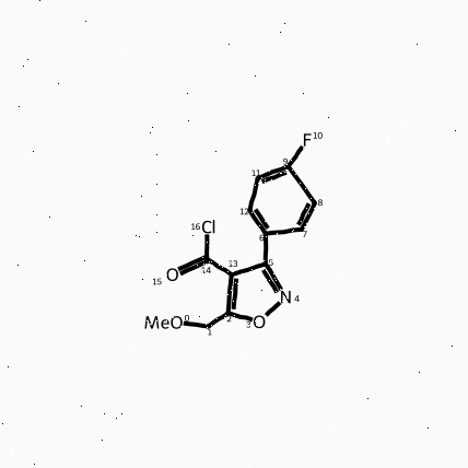 COCc1onc(-c2ccc(F)cc2)c1C(=O)Cl